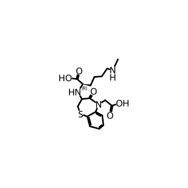 CNCCCC[C@@H](NC1CSc2ccccc2N(CC(=O)O)C1=O)C(=O)O